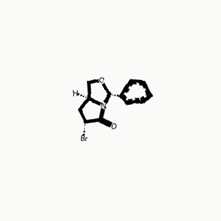 O=C1[C@H](Br)C[C@H]2CO[C@H](c3ccccc3)N12